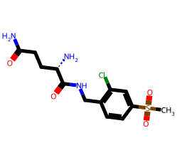 CS(=O)(=O)c1ccc(CNC(=O)[C@@H](N)CCC(N)=O)c(Cl)c1